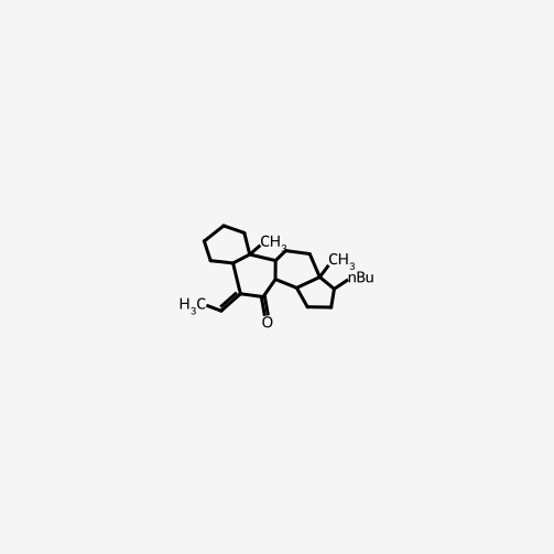 C/C=C1/C(=O)C2C3CCC(CCCC)C3(C)CCC2C2(C)CCCCC12